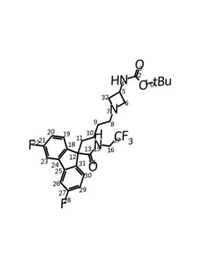 CC(C)(C)OC(=O)NC1CN(CCCCC2(C(=O)NCC(F)(F)F)c3ccc(F)cc3-c3cc(F)ccc32)C1